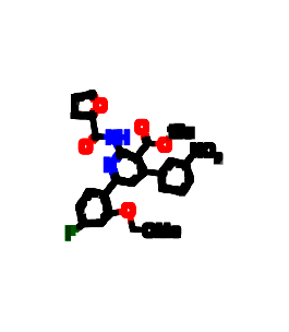 COCOc1cc(F)ccc1-c1cc(-c2cccc([N+](=O)[O-])c2)c(C(=O)OC(C)(C)C)c(NC(=O)c2ccco2)n1